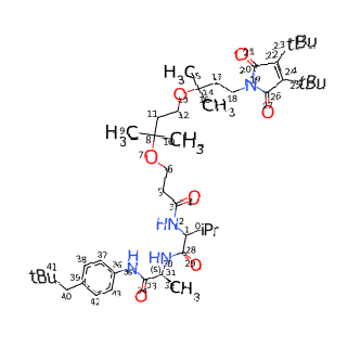 CC(C)C(NC(=O)CCOC(C)(C)CCOC(C)(C)CCN1C(=O)C(C(C)(C)C)=C(C(C)(C)C)C1=O)C(=O)N[C@@H](C)C(=O)Nc1ccc(CC(C)(C)C)cc1